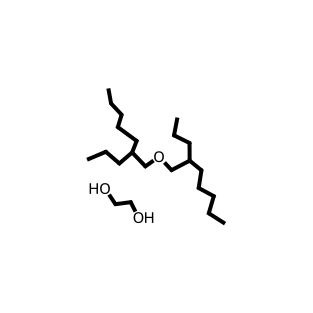 CCCCCC(CCC)COCC(CCC)CCCCC.OCCO